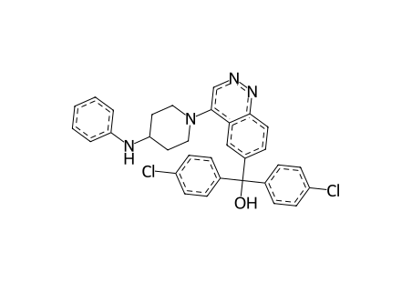 OC(c1ccc(Cl)cc1)(c1ccc(Cl)cc1)c1ccc2nncc(N3CCC(Nc4ccccc4)CC3)c2c1